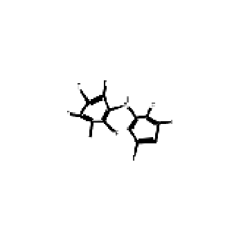 Cc1c(F)c(F)c(F)c(Bc2cc(F)cc(F)c2F)c1F